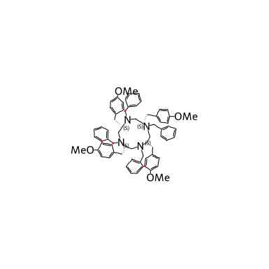 COc1ccc(C[C@H]2CN(Cc3ccccc3)[C@@H](Cc3ccc(OC)cc3)CN(Cc3ccccc3)[C@@H](Cc3ccc(OC)cc3)CN(Cc3ccccc3)[C@@H](Cc3ccc(OC)cc3)CN2Cc2ccccc2)cc1